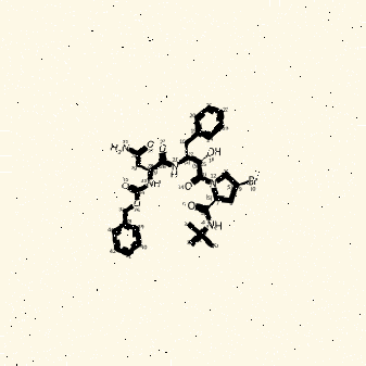 CC(C)(C)NC(=O)[C@@H]1C[C@H](Br)CN1C(=O)[C@@H](O)[C@H](Cc1ccccc1)NC(=O)[C@H](CC(N)=O)NC(=O)OCc1ccccc1